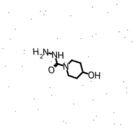 NNC(=O)N1CCC(O)CC1